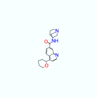 O=C(NC1CN2CCC1CC2)c1ccc2c(C3CCCCO3)ccnc2c1